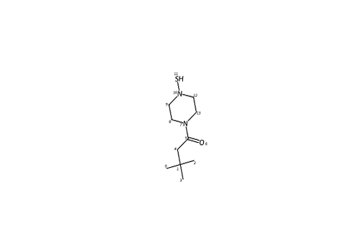 CC(C)(C)CC(=O)N1CCN(S)CC1